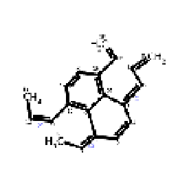 C=C/C=c1/cc/c(=C/C)c2c(/C=C\C)ccc(C=C)c12